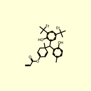 C=CC(=O)OC1=CCC(C)(C(c2cc(C)ccc2O)c2cc(C(C)(C)CC)cc(C(C)(C)CC)c2O)C=C1